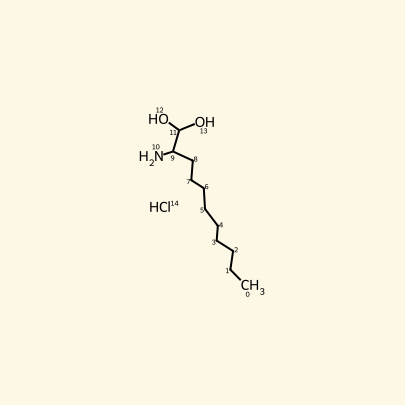 CCCCCCCCCC(N)C(O)O.Cl